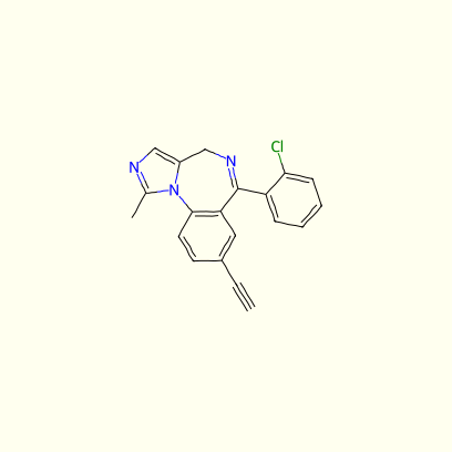 C#Cc1ccc2c(c1)C(c1ccccc1Cl)=NCc1cnc(C)n1-2